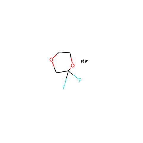 FC1(F)COCCO1.[Na]